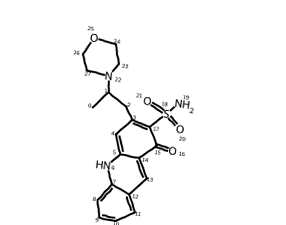 CC(Cc1cc2[nH]c3ccccc3cc-2c(=O)c1S(N)(=O)=O)N1CCOCC1